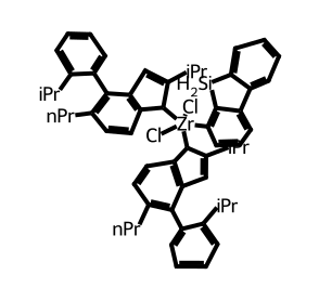 CCCc1ccc2c(c1-c1ccccc1C(C)C)C=C(C(C)C)[CH]2[Zr]([Cl])([Cl])([c]1cccc2c1[SiH2]c1ccccc1-2)[CH]1C(C(C)C)=Cc2c1ccc(CCC)c2-c1ccccc1C(C)C